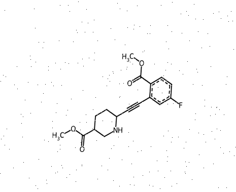 COC(=O)c1ccc(F)cc1C#CC1CCC(C(=O)OC)CN1